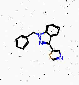 c1ccc(Cn2nc(-c3cncs3)c3ccccc32)cc1